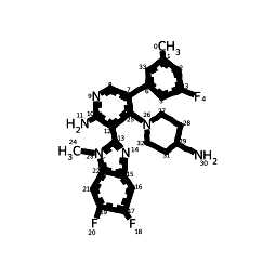 Cc1cc(F)cc(-c2cnc(N)c(-c3nc4cc(F)c(F)cc4n3C)c2N2CCC(N)CC2)c1